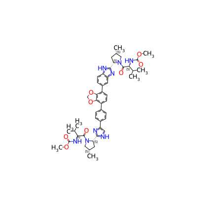 COC(=O)N[C@H](C(=O)N1C[C@@H](C)C[C@H]1c1nc(-c2ccc(-c3ccc(-c4ccc5[nH]c([C@@H]6C[C@H](C)CN6C(=O)[C@@H](NC(=O)OC)C(C)C)nc5c4)c4c3OCO4)cc2)c[nH]1)C(C)C